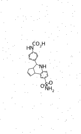 NS(=O)(=O)c1ccc2c(c1)C1C=CCC1C(c1ccc(NC(=O)O)cc1)N2